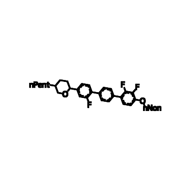 CCCCCCCCCOc1ccc(-c2ccc(-c3ccc(C4CCC(CCCCC)CO4)cc3F)cc2)c(F)c1F